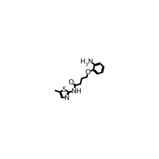 Cc1cnc(NC(=O)CCCOc2ccccc2N)s1